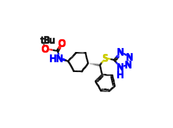 CC(C)(C)OC(=O)N[C@H]1CC[C@H](C(Sc2nnn[nH]2)c2ccccc2)CC1